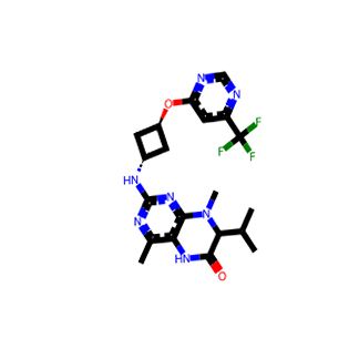 Cc1nc(N[C@H]2C[C@H](Oc3cc(C(F)(F)F)ncn3)C2)nc2c1NC(=O)C(C(C)C)N2C